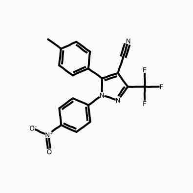 Cc1ccc(-c2c(C#N)c(C(F)(F)F)nn2-c2ccc([N+](=O)[O-])cc2)cc1